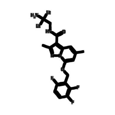 CCC(N)(CC)CNC(=O)c1c(C)nn2c(OCc3c(F)ccc(F)c3F)cc(C)cc12